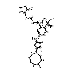 CC1CCCCC(n2cc(Nc3ncc(C(F)(F)F)c(NCCCN4CCCC4=O)n3)cn2)CC1